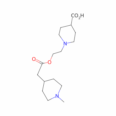 CN1CCC(CC(=O)OCCN2CCC(C(=O)O)CC2)CC1